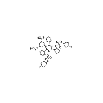 O=S(=O)(Oc1ccc(F)cc1)Oc1ccccc1C1=NC(c2cccc(S(=O)(=O)O)c2)N(c2cccc(S(=O)(=O)O)c2)C(c2ccccc2OS(=O)(=O)Oc2ccc(F)cc2)=N1